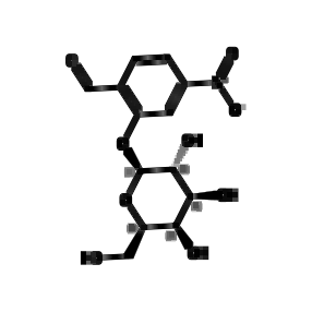 O=Cc1ccc([N+](=O)[O-])cc1O[C@@H]1O[C@H](CO)[C@H](O)[C@H](O)[C@H]1O